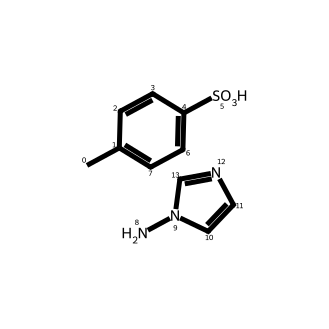 Cc1ccc(S(=O)(=O)O)cc1.Nn1ccnc1